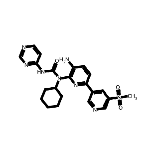 CS(=O)(=O)c1cncc(-c2ccc(N)c(N(C(=O)Nc3ccncn3)C3CCCCC3)n2)c1